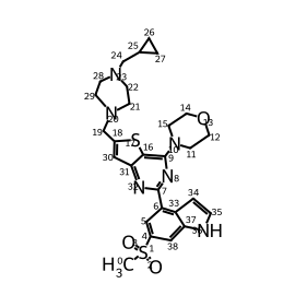 CS(=O)(=O)c1cc(-c2nc(N3CCOCC3)c3sc(CN4CCN(CC5CC5)CC4)cc3n2)c2cc[nH]c2c1